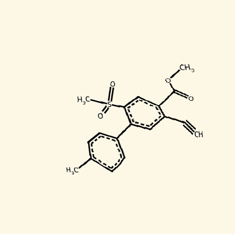 C#Cc1cc(-c2ccc(C)cc2)c(S(C)(=O)=O)cc1C(=O)OC